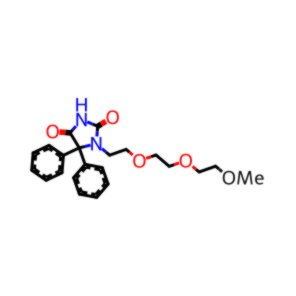 COCCOCCOCCN1C(=O)NC(=O)C1(c1ccccc1)c1ccccc1